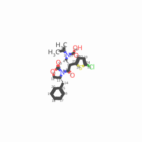 CC(C)N(C[C@@H](C(=O)N1C(=O)OC[C@H]1Cc1ccccc1)c1ccc(Cl)s1)C(=O)O